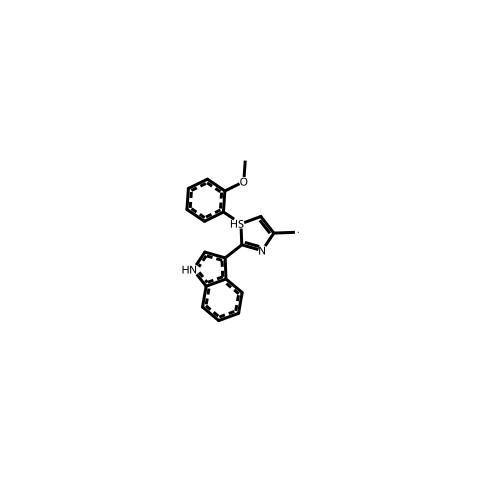 [CH2]C1=C[SH](c2ccccc2OC)C(c2c[nH]c3ccccc23)=N1